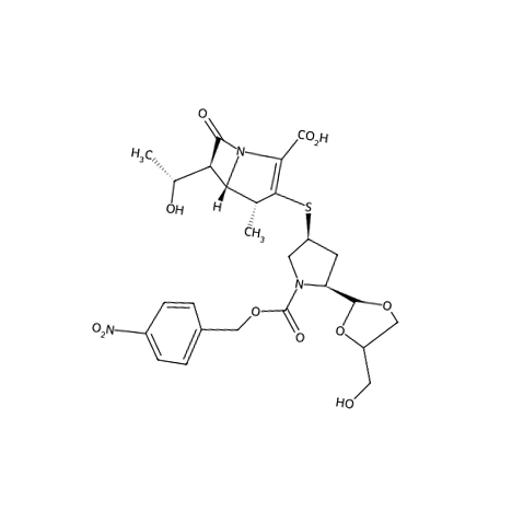 C[C@@H](O)[C@H]1C(=O)N2C(C(=O)O)=C(S[C@H]3C[C@@H](C4OCC(CO)O4)N(C(=O)OCc4ccc([N+](=O)[O-])cc4)C3)[C@H](C)[C@H]12